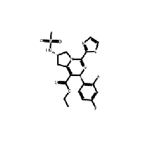 CCOC(=O)C1=C2C[C@H](NS(C)(=O)=O)CN2C(c2nccs2)=N[C@H]1c1ccc(F)cc1Br